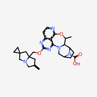 C=C1CN2CC3(CC3)CC2(COc2nc3c4c(nccc4n2)OC(C)C2C4CCC(CN32)N4C(=O)O)C1